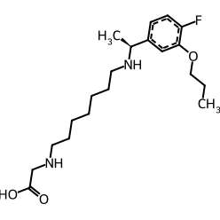 CCCOc1cc([C@H](C)NCCCCCCCNCC(=O)O)ccc1F